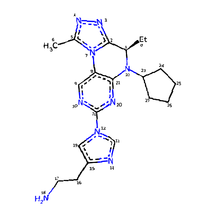 CC[C@@H]1c2nnc(C)n2-c2cnc(-n3cnc(CCN)c3)nc2N1C1CCCC1